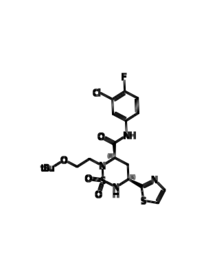 CC(C)(C)OCCN1[C@@H](C(=O)Nc2ccc(F)c(Cl)c2)C[C@@H](c2nccs2)NS1(=O)=O